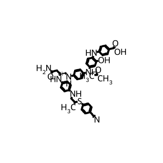 CC(C)Oc1c(Nc2ccc(NC[C@H](CC(N)=O)Nc3ccc(NCC(C)Sc4ccc(C#N)cc4)cc3)cc2)ccc(Nc2ccc(C(=O)O)cc2)c1O